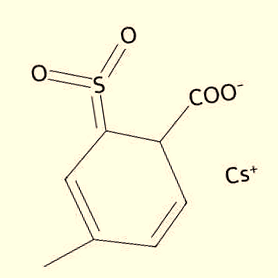 CC1=CC(=S(=O)=O)C(C(=O)[O-])C=C1.[Cs+]